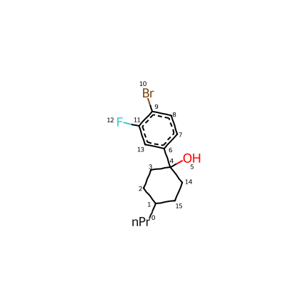 CCCC1CCC(O)(c2ccc(Br)c(F)c2)CC1